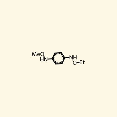 CCONc1ccc(NOC)cc1